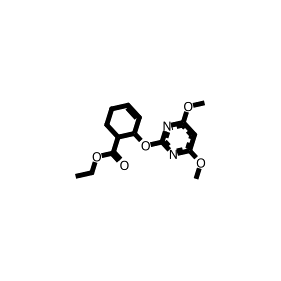 CCOC(=O)C1CCC=CC1Oc1nc(OC)cc(OC)n1